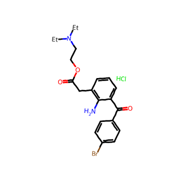 CCN(CC)CCOC(=O)Cc1cccc(C(=O)c2ccc(Br)cc2)c1N.Cl